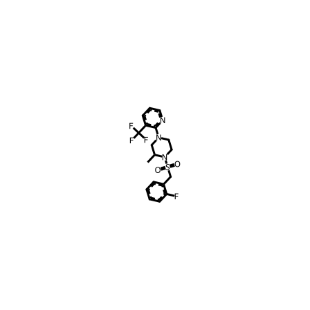 CC1CN(c2ncccc2C(F)(F)F)CCN1S(=O)(=O)Cc1ccccc1F